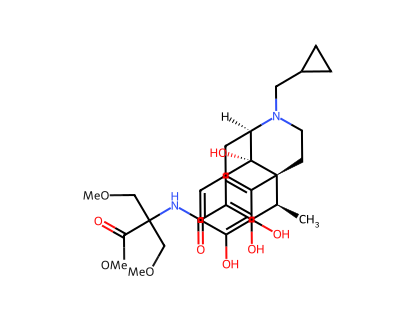 COCC(COC)(NC(=O)C1=C(O)[C@H](C)[C@]23CCN(CC4CC4)[C@H](Cc4ccc(O)c(O)c42)[C@]3(O)C1)C(=O)OC